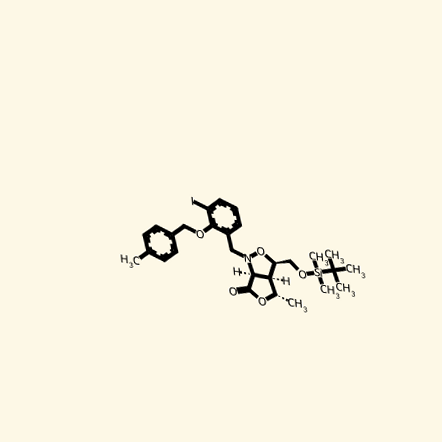 Cc1ccc(COc2c(I)cccc2CN2O[C@@H](CO[Si](C)(C)C(C)(C)C)[C@H]3[C@H](C)OC(=O)[C@H]32)cc1